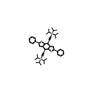 CC(C)[Si](C#Cc1c2cc(-c3ccccc3)sc2c(C#C[Si](C(C)C)(C(C)C)C(C)C)c2cc(-c3ccccc3)sc12)(C(C)C)C(C)C